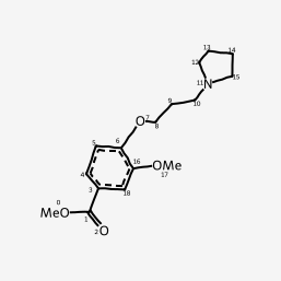 COC(=O)c1ccc(OCCCN2CCCC2)c(OC)c1